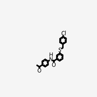 CC(=O)c1ccc(NC(=O)c2cccc(SCc3ccc(Cl)cc3)c2)cc1